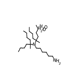 CCCCC(C)(CCCC)N(CCCCCCN)C(C)(CCCC)CCCC.O.O